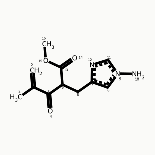 C=C(C)C(=O)C(Cc1cn(N)cn1)C(=O)OC